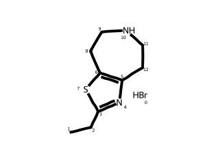 Br.CCc1nc2c(s1)CCNCC2